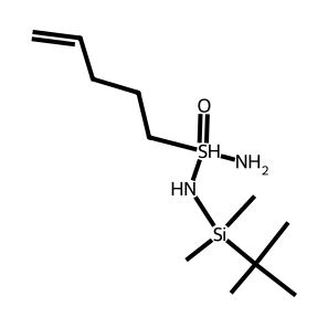 C=CCCC[SH](N)(=O)N[Si](C)(C)C(C)(C)C